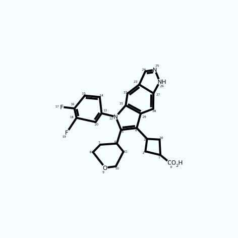 O=C(O)C1CC(c2c(C3CCOCC3)n(-c3ccc(F)c(F)c3)c3cc4cn[nH]c4cc23)C1